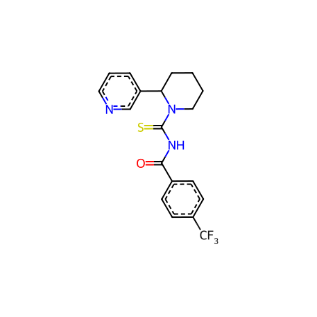 O=C(NC(=S)N1CCCCC1c1cccnc1)c1ccc(C(F)(F)F)cc1